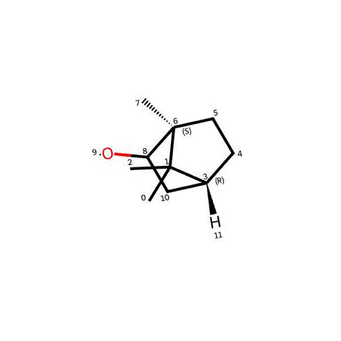 CC1(C)[C@@H]2CC[C@]1(C)C([O])C2